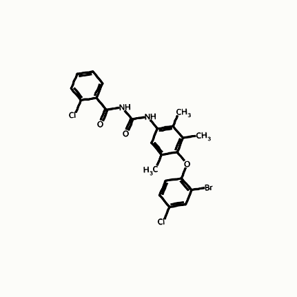 Cc1cc(NC(=O)NC(=O)c2ccccc2Cl)c(C)c(C)c1Oc1ccc(Cl)cc1Br